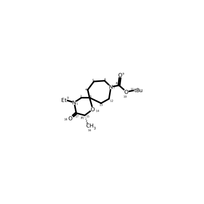 CCN1CC2(CCCN(C(=O)OC(C)(C)C)CC2)O[C@H](C)C1=O